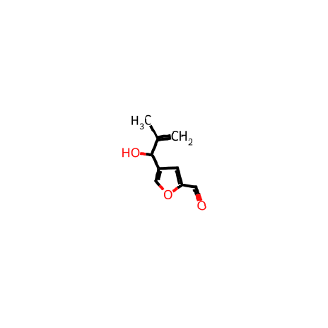 C=C(C)C(O)c1coc(C=O)c1